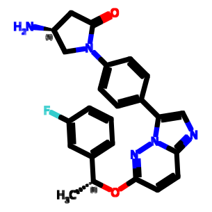 C[C@@H](Oc1ccc2ncc(-c3ccc(N4C[C@@H](N)CC4=O)cc3)n2n1)c1cccc(F)c1